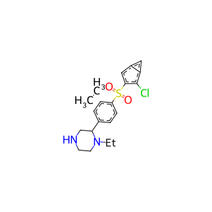 CC.CCN1CCNCC1c1ccc(S(=O)(=O)c2cc3cc-3c2Cl)cc1